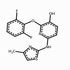 Cc1csc(Nc2ccc(O)c(Oc3c(F)cccc3F)n2)n1